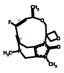 C=C1/C=C(F)\C=C2/Cc3c(n(C)c(=O)n3C3(COC3)CO1)CN2C